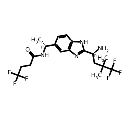 C[C@@H](NC(=O)CCC(F)(F)F)c1ccc2[nH]c([C@@H](N)CC(C)(C)C(F)(F)F)nc2c1